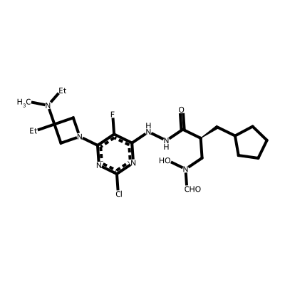 CCN(C)C1(CC)CN(c2nc(Cl)nc(NNC(=O)[C@@H](CC3CCCC3)CN(O)C=O)c2F)C1